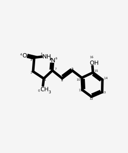 CC1CC(=O)NN=C1C=Cc1ccccc1O